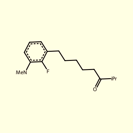 CNc1cccc(CCCCCC(=O)C(C)C)c1F